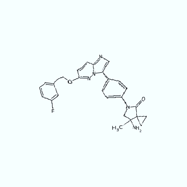 CC1(N)CN(c2ccc(-c3cnc4ccc(OCc5cccc(F)c5)nn34)cc2)C(=O)C12CC2